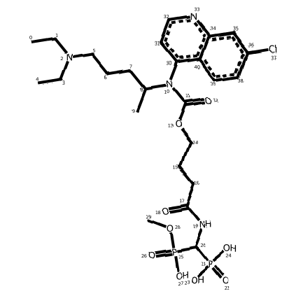 CCN(CC)CCCC(C)N(C(=O)OCCCC(=O)NC(P(=O)(O)O)P(=O)(O)OC)c1ccnc2cc(Cl)ccc12